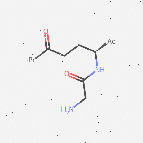 CC(=O)[C@H](CCC(=O)C(C)C)NC(=O)CN